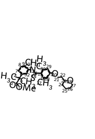 COC(=O)C(C)(C)c1ccc(Cl)c(NC(=S)c2c(C)cc(OCCC3CCCCO3)cc2C)c1